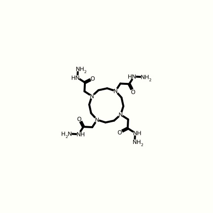 NNC(=O)CN1CCN(CC(=O)NN)CCN(CC(=O)NN)CCN(CC(=O)NN)CC1